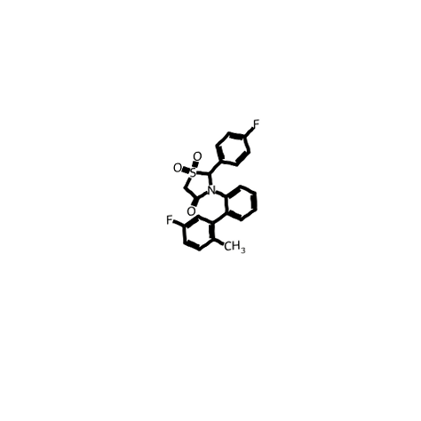 Cc1ccc(F)cc1-c1ccccc1N1C(=O)CS(=O)(=O)C1c1ccc(F)cc1